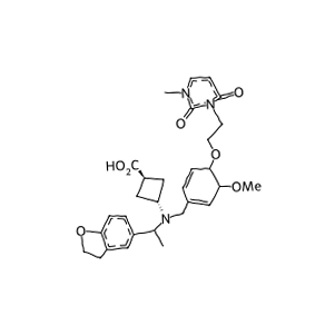 COC1C=C(CN(C(C)c2ccc3c(c2)CCO3)[C@H]2C[C@H](C(=O)O)C2)C=CC1OCCn1c(=O)ccn(C)c1=O